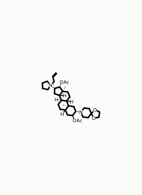 C=CC[N+]1([C@H]2C[C@H]3[C@@H]4CC[C@H]5C[C@H](OC(C)=O)[C@@H](N6CCC7(CC6)OCCO7)C[C@]5(C)[C@H]4CC[C@]3(C)[C@H]2OC(C)=O)CCCC1